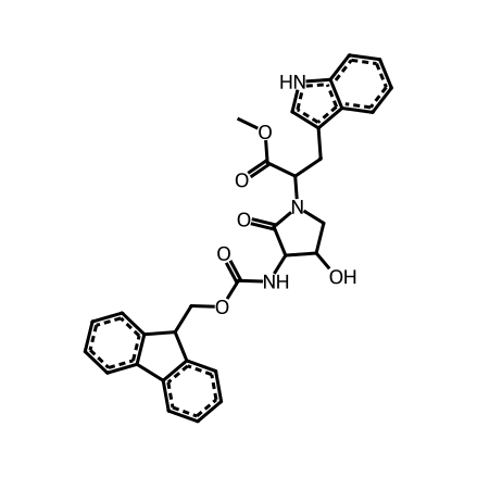 COC(=O)C(Cc1c[nH]c2ccccc12)N1CC(O)C(NC(=O)OCC2c3ccccc3-c3ccccc32)C1=O